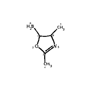 BC1OC(C)=NC1C